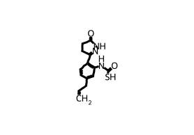 C=CCc1ccc(C2=NNC(=O)CC2)c(NC(=O)S)c1